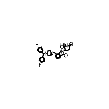 O=C1CCC(N2Cc3c(CN4CCN(C(c5ccc(F)cc5)c5ccc(F)cc5)CC4)cccc3C2=O)C(=O)N1